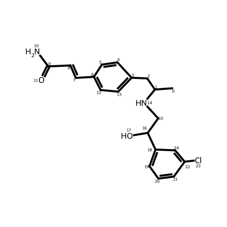 CC(Cc1ccc(C=CC(N)=O)cc1)NCC(O)c1cccc(Cl)c1